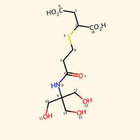 O=C(O)CC(SCCC(=O)NC(CO)(CO)CO)C(=O)O